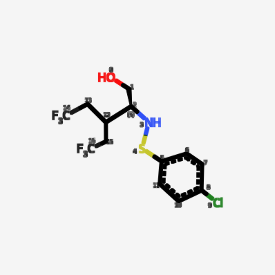 OC[C@@H](NSc1ccc(Cl)cc1)C(CC(F)(F)F)CC(F)(F)F